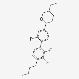 CCCCc1ccc(-c2ccc(C3CCC(CC)CO3)cc2F)c(F)c1F